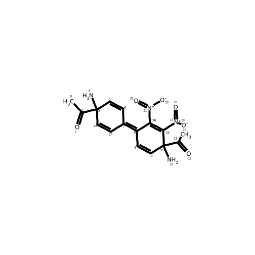 CC(=O)C1(N)C=CC(=C2C=CC(N)(C(C)=O)C([N+](=O)[O-])=C2[N+](=O)[O-])C=C1